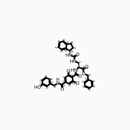 O=C(NC[C@H](NC(=O)c1c(Cl)cc(C(=O)NCc2cccc(O)c2)cc1Cl)C(=O)OCc1ccccc1)N[C@@H]1CCc2ccccc21